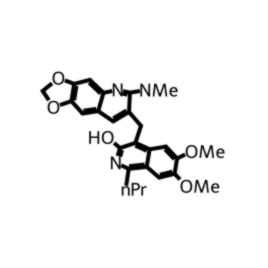 CCCc1nc(O)c(Cc2cc3cc4c(cc3nc2NC)OCO4)c2cc(OC)c(OC)cc12